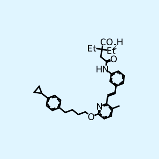 CCC(CC)(CC(=O)Nc1cccc(C=Cc2nc(OCCCCc3ccc(C4CC4)cc3)ccc2C)c1)C(=O)O